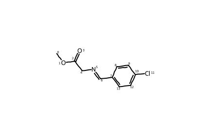 COC(=O)CN=Cc1ccc(Cl)cc1